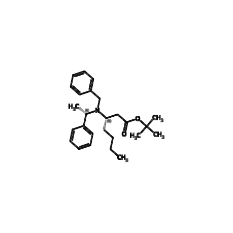 CCCC[C@@H](CC(=O)OC(C)(C)C)N(Cc1ccccc1)[C@@H](C)c1ccccc1